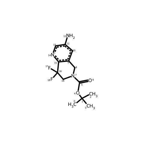 CC(C)(C)OC(=O)N1Cc2cc(N)cnc2C(F)(F)C1